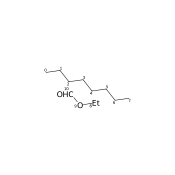 CCCCCCCC.CCOC=O